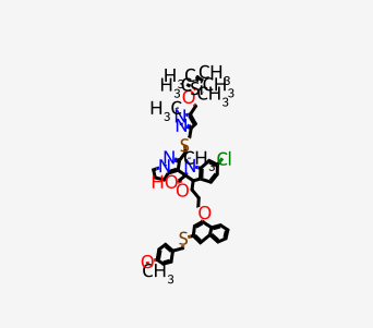 COc1ccc(CSc2cc(OCCCC3c4ccc(Cl)cc4N(C)C3(C(=O)O)c3c(CSCc4cc(CO[Si](C)(C)C(C)(C)C)n(C)n4)nn4c3CCC4)c3ccccc3c2)cc1